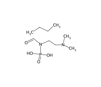 CCCC.CN(C)CCN(C=O)P(=O)(O)O